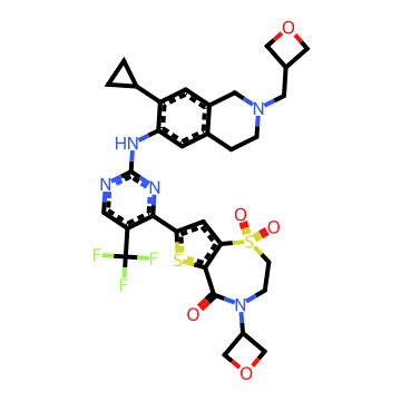 O=C1c2sc(-c3nc(Nc4cc5c(cc4C4CC4)CN(CC4COC4)CC5)ncc3C(F)(F)F)cc2S(=O)(=O)CCN1C1COC1